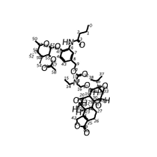 CCCC(=O)Nc1cc(COC(=O)N(CC)CO[C@H]2C3[C@H]4O[C@H]4[C@H]4C5=C(CC[C@]4(C)[C@@]34O[C@H]4[C@@H]3O[C@]23C(C)C)C(=O)OC5)ccc1O[C@@H]1OC(C)[C@@H](C)[C@H](C)C1OC(C)=O